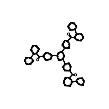 O=C(c1ccc(-c2cc(-c3ccc(C(=O)c4ccccc4-c4ccccc4)cc3)cc(-c3ccc(C(=O)c4ccccc4-c4ccccc4)cc3)c2)cc1)c1ccccc1-c1ccccc1